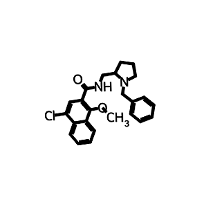 COc1c(C(=O)NCC2CCCN2Cc2ccccc2)cc(Cl)c2ccccc12